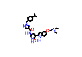 CCN(CC)CCOc1ccc2[nH]c(-c3cc(NC(=O)c4cnn(Cc5ccc(C(C)C)cc5)c4)c[nH]c3=O)cc2c1